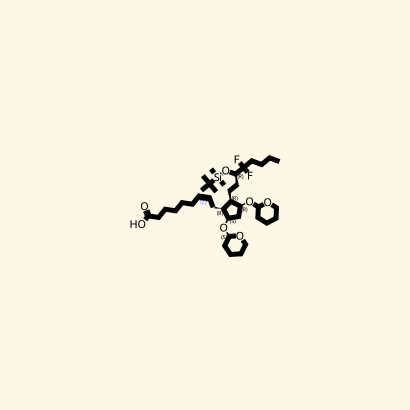 CCCCC(F)(F)[C@@H](CC[C@@H]1[C@@H](C/C=C\CCCCCC(=O)O)[C@@H](O[C@H]2CCCCO2)C[C@H]1OC1CCCCO1)O[Si](C)(C)C(C)(C)C